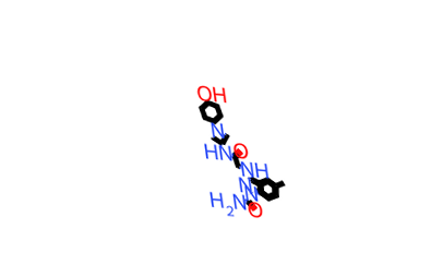 Cc1ccc2c(c1)c(NCC(=O)NC1CN([C@H]3CC[C@@H](O)CC3)C1)nn2C(N)=O